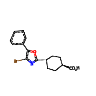 O=C(O)[C@H]1CC[C@H](c2nc(Br)c(-c3ccccc3)o2)CC1